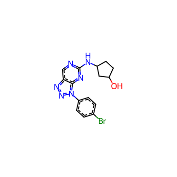 OC1CCC(Nc2ncc3nnn(-c4ccc(Br)cc4)c3n2)C1